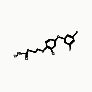 CCNC(=O)OCCOc1ccc(Oc2cc(F)cc(F)c2)cc1Cl